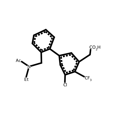 CCN(Cc1ccccc1-c1cc(Cl)c(C(F)(F)F)c(CC(=O)O)c1)C(C)=O